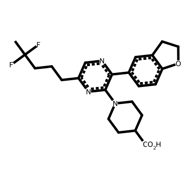 CC(F)(F)CCCc1cnc(-c2ccc3c(c2)CCO3)c(N2CCC(C(=O)O)CC2)n1